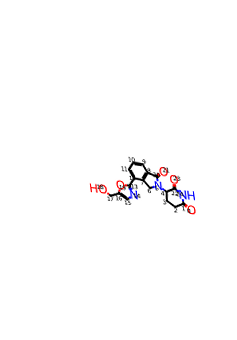 O=C1CCC(N2Cc3c(cccc3-c3ncc(CO)o3)C2=O)C(=O)N1